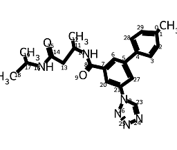 Cc1ccc(-c2cc(C(=O)NC(C)CC(=O)NC(C)C)cc(-n3cnnn3)c2)cc1